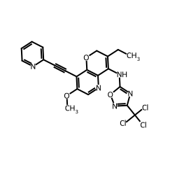 CCC1=C(Nc2nc(C(Cl)(Cl)Cl)no2)c2ncc(OC)c(C#Cc3ccccn3)c2OC1